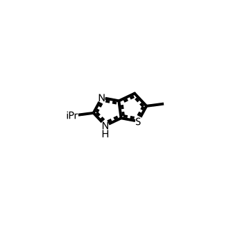 Cc1cc2nc(C(C)C)[nH]c2s1